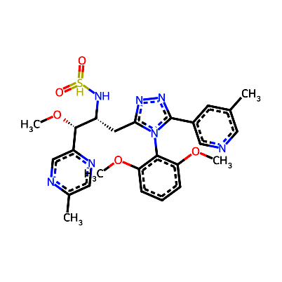 COc1cccc(OC)c1-n1c(C[C@@H](N[SH](=O)=O)[C@@H](OC)c2cnc(C)cn2)nnc1-c1cncc(C)c1